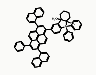 CC12CCCCC1(C)[Si](c1ccccc1)(c1ccccc1)c1ccc(-c3cc(-c4cccc5ccccc45)c4ccc5c(-c6ccccc6)cc(-c6cccc7ccccc67)c6ccc3c4c56)cc12